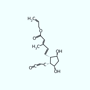 C=CCOC(=O)/C=C(C)/C=C/[C@H]1[C@@H](CC=C=O)[C@H](O)C[C@@H]1O